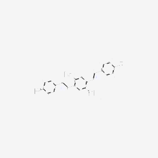 Bc1cc(/C=C/c2ccc(F)cc2)c(Br)cc1/C=C/c1ccc(F)cc1